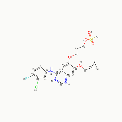 CS(=O)(=O)OCCCOc1cc2c(Nc3ccc(F)c(Cl)c3)ncnc2cc1OCC1CC1